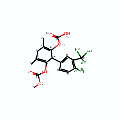 COC(=O)OC1=C(C)CC(C)=C(OC(=O)O)C1c1ccc(Cl)c(C(F)(F)F)c1